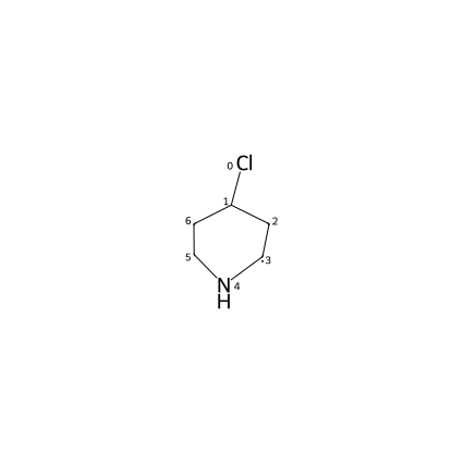 ClC1C[CH]NCC1